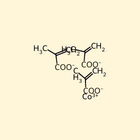 C=C(C)C(=O)[O-].C=C(C)C(=O)[O-].C=C(C)C(=O)[O-].[Co+3]